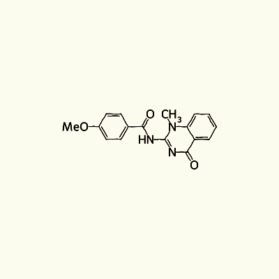 COc1ccc(C(=O)Nc2nc(=O)c3ccccc3n2C)cc1